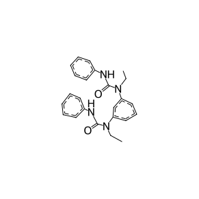 CCN(C(=O)Nc1ccccc1)c1cccc(N(CC)C(=O)Nc2ccccc2)c1